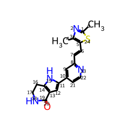 Cc1nc(C)c(C=Cc2cc(-c3cc4c([nH]3)CCNC4=O)ccn2)s1